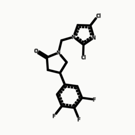 O=C1CC(c2cc(F)c(F)c(F)c2)CN1Cn1cc(Cl)nc1Cl